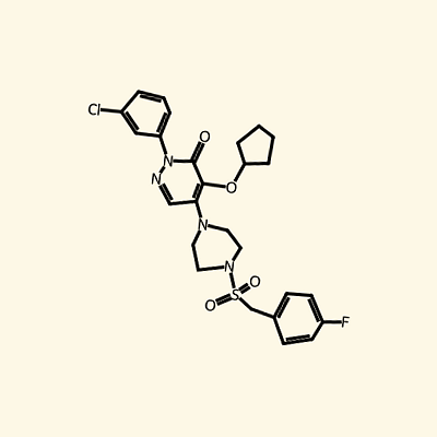 O=c1c(OC2CCCC2)c(N2CCN(S(=O)(=O)Cc3ccc(F)cc3)CC2)cnn1-c1cccc(Cl)c1